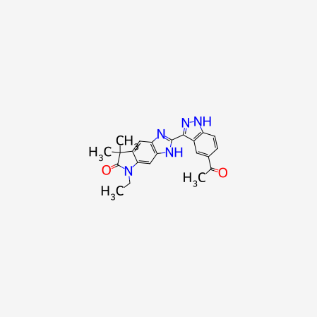 CCN1C(=O)C(C)(C)c2cc3nc(-c4n[nH]c5ccc(C(C)=O)cc45)[nH]c3cc21